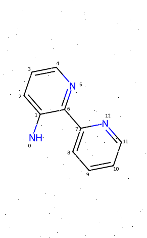 [NH]c1cccnc1-c1ccccn1